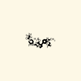 [2H]C([2H])([2H])C(=O)N1CC[C@H](Nc2nc(OC)c3c(-c4ccc5nc(C)n(CC(F)(F)F)c5c4)ccn3n2)[C@H](F)C1